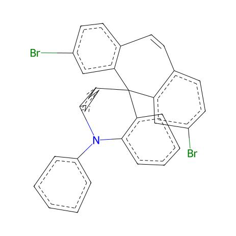 Brc1ccc2c(c1)C1(c3cc(Br)ccc3C=C2)c2ccccc2N(c2ccccc2)c2ccccc21